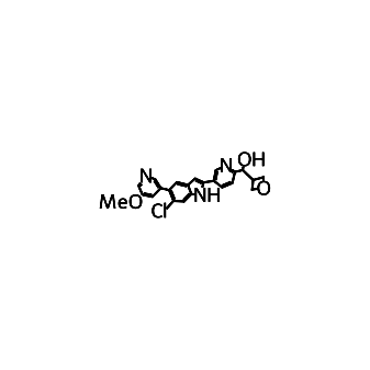 COc1cncc(-c2cc3cc(-c4ccc(C(O)C5COC5)nc4)[nH]c3cc2Cl)c1